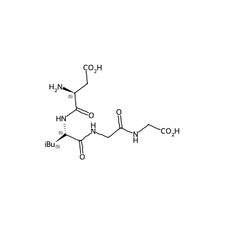 CC[C@H](C)[C@H](NC(=O)[C@@H](N)CC(=O)O)C(=O)NCC(=O)NCC(=O)O